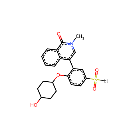 CCS(=O)(=O)c1ccc(OC2CCC(O)CC2)c(-c2cn(C)c(=O)c3ccccc23)c1